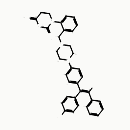 CCC(=C(c1ccc(O)cc1)c1ccc(N2CCN(Cc3ccccc3N3CCC(=O)NC3=O)CC2)cc1)c1ccccc1